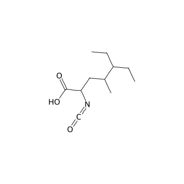 CCC(CC)C(C)CC(N=C=O)C(=O)O